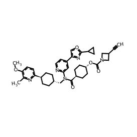 C#CC1CN(C(=O)O[C@H]2CC[C@H](C(=O)N(C[C@H]3CC[C@H](c4ccc(OC)c(C)n4)CC3)c3cc(-c4coc(C5CC5)n4)ccn3)CC2)C1